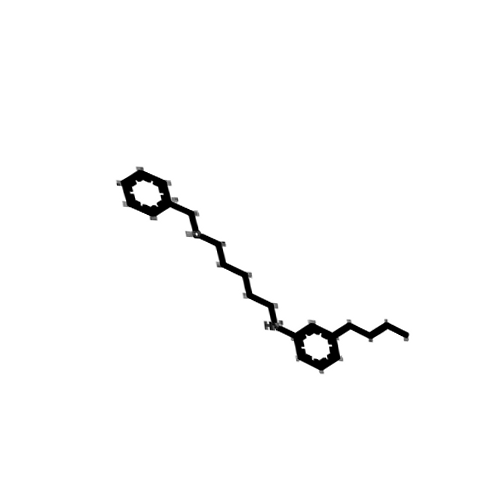 CCCCc1cccc(NCCCCCOCc2ccccc2)c1